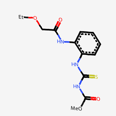 CCOCC(=O)Nc1ccccc1NC(=S)NC(=O)OC